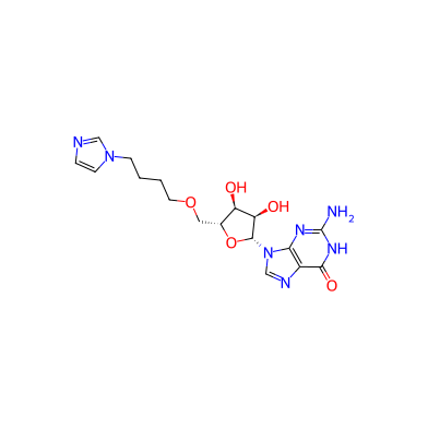 Nc1nc2c(ncn2[C@@H]2O[C@H](COCCCCn3ccnc3)[C@@H](O)[C@H]2O)c(=O)[nH]1